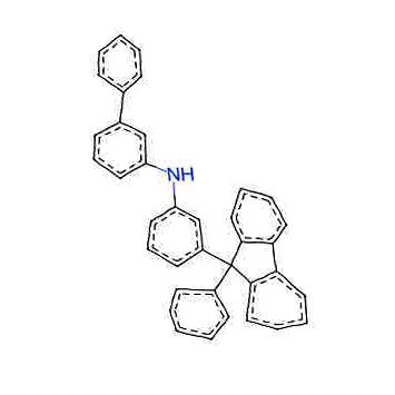 c1ccc(-c2cccc(Nc3cccc(C4(c5ccccc5)c5ccccc5-c5ccccc54)c3)c2)cc1